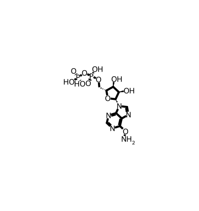 NOc1ncnc2c1ncn2[C@@H]1O[C@H](COP(=O)(O)OP(=O)(O)O)[C@@H](O)[C@H]1O